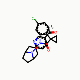 CC(=O)c1ccc(N2C3CCC2CC(NC(=O)C2(c4ccc(Cl)cc4)CC2)C3)nc1